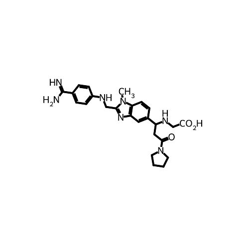 Cn1c(CNc2ccc(C(=N)N)cc2)nc2cc(C(CC(=O)N3CCCC3)NCC(=O)O)ccc21